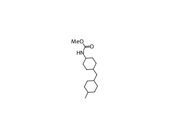 COC(=O)NC1CCC(CC2CCC(C)CC2)CC1